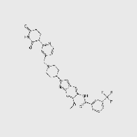 COc1cc2nn(C3CCN(Cc4ccnc(C5CCC(=O)NC5=O)c4)CC3)cc2cc1NC(=O)c1cccc(C(F)(F)F)c1